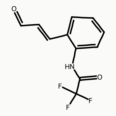 O=CC=Cc1ccccc1NC(=O)C(F)(F)F